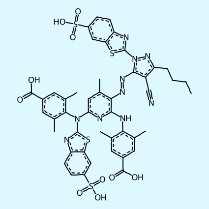 CCCCc1nn(-c2nc3ccc(S(=O)(=O)O)cc3s2)c(N=Nc2c(C)cc(N(c3nc4ccc(S(=O)(=O)O)cc4s3)c3c(C)cc(C(=O)O)cc3C)nc2Nc2c(C)cc(C(=O)O)cc2C)c1C#N